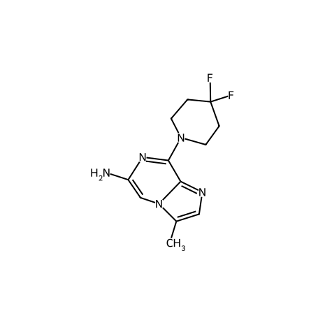 Cc1cnc2c(N3CCC(F)(F)CC3)nc(N)cn12